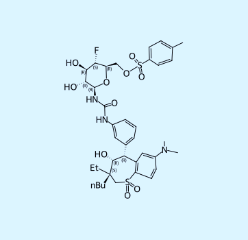 CCCC[C@]1(CC)CS(=O)(=O)c2ccc(N(C)C)cc2[C@@H](c2cccc(NC(=O)N[C@@H]3O[C@H](COS(=O)(=O)c4ccc(C)cc4)[C@@H](F)[C@H](O)[C@H]3O)c2)[C@H]1O